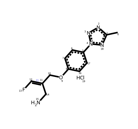 Cc1nnn(-c2ccc(OC/C(=C/F)CN)cc2)n1.Cl